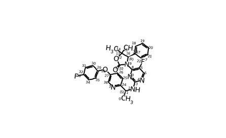 C[C@H](Nc1ncc(F)c(N2C(=O)OC(C)(C)[C@H]2c2ccccc2)n1)c1ccc(Oc2ccc(F)cc2)cn1